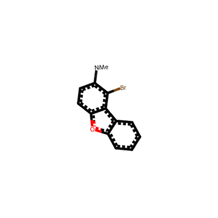 CNc1ccc2oc3ccccc3c2c1Br